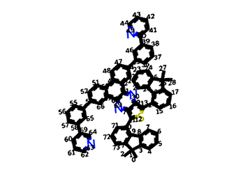 CC1(C)c2ccccc2-c2c(-c3sc(-c4cccc5c4-c4ccccc4C5(C)C)c4nc5c6cc(-c7cccc(-c8ccccn8)c7)ccc6c6ccc(-c7cccc(-c8cccnc8)c7)cc6c5nc34)cccc21